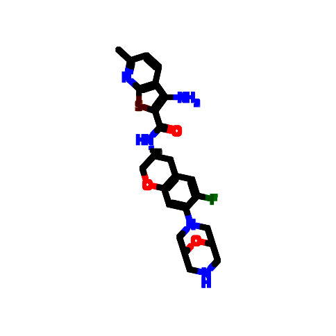 Cc1ccc2c(N)c(C(=O)N[C@H]3COc4cc(N5CC6CNCC(C5)O6)c(F)cc4C3)sc2n1